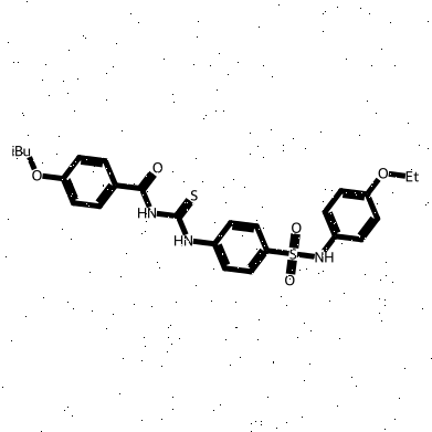 CCOc1ccc(NS(=O)(=O)c2ccc(NC(=S)NC(=O)c3ccc(OC(C)CC)cc3)cc2)cc1